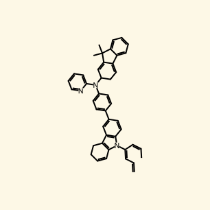 C=C/C=C(\C=C/C)n1c2c(c3cc(-c4ccc(N(c5ccccn5)C5C=C6C(=CC5)c5ccccc5C6(C)C)cc4)ccc31)CCC=C2